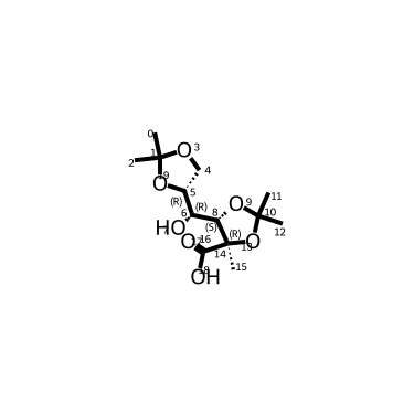 CC1(C)OC[C@H]([C@@H](O)[C@@H]2OC(C)(C)O[C@@]2(C)C(=O)O)O1